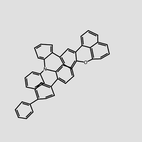 c1ccc(-c2ccc(-c3ccccc3N(c3ccccc3)c3ccccc3-c3ccc4c(c3)-c3cccc5cccc(c35)O4)cc2)cc1